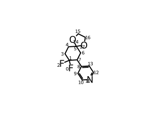 FC1(F)CCC2(CC1c1ccncc1)OCCO2